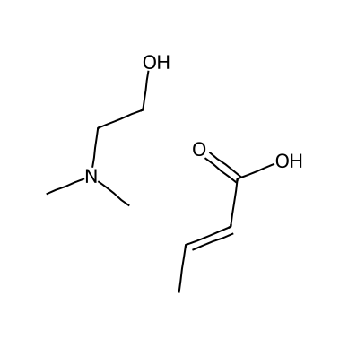 C/C=C/C(=O)O.CN(C)CCO